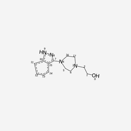 OCCN1CCN(c2n[nH]c3ccccc23)CC1